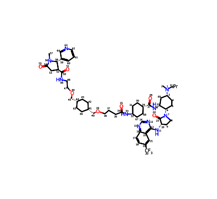 CC(C)N(C)[C@@H]1CC[C@H](N2CC[C@H](Nc3ncnc4ccc(C(F)(F)F)cc34)C2=O)[C@H](NC(=O)[C@H]2CC[C@H](NC(=O)CCCOC[C@H]3CC[C@@H](COCCNC(=O)[C@H]4CC(=O)N(C)[C@@H]4c4cccnc4)CC3)CC2)C1